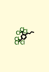 CCC[CH]c1ccc(C(Cl)(Cl)Cl)cc1C(Cl)(Cl)Cl